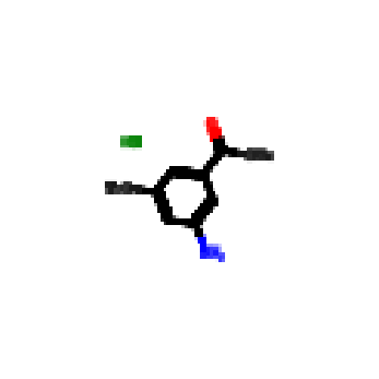 COC(=O)c1cc(N)cc(SC)c1.Cl